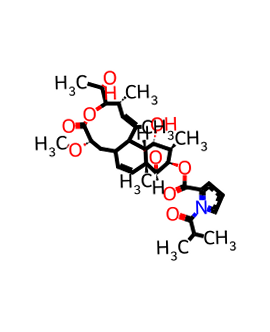 CO[C@H]1CC2C=C[C@]3(C)[C@H]4[C@H](O)[C@@H](C)[C@@H](OC(=O)c5cccn5C(=O)C(C)C)[C@@H]3O[C@@]24/C(C)=C/[C@@H](C)C(C(C)O)OC1=O